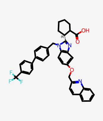 O=C(O)C1CCCC[C@H]1c1nc2cc(OCc3ccc4ccccc4n3)ccc2n1Cc1ccc(-c2ccc(C(F)(F)F)cc2)cc1